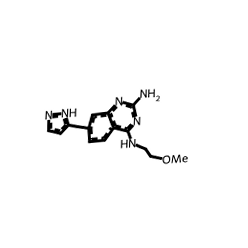 COCCNc1nc(N)nc2cc(-c3ccn[nH]3)ccc12